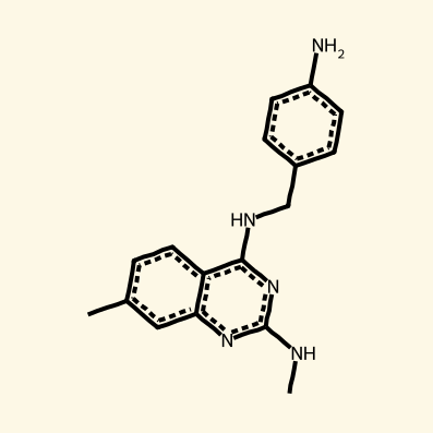 CNc1nc(NCc2ccc(N)cc2)c2ccc(C)cc2n1